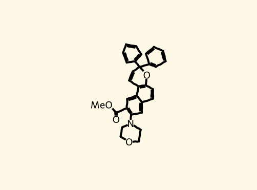 COC(=O)c1cc2c3c(ccc2cc1N1CCOCC1)OC(c1ccccc1)(c1ccccc1)C=C3